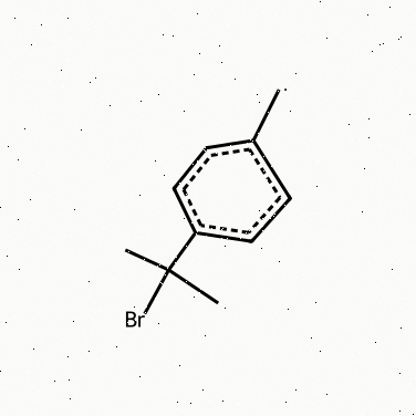 [CH2]c1ccc(C(C)(C)Br)cc1